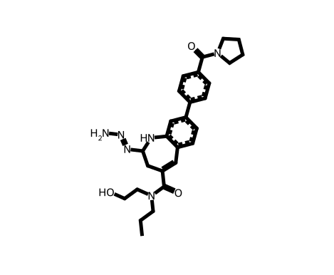 CCCN(CCO)C(=O)C1=Cc2ccc(-c3ccc(C(=O)N4CCCC4)cc3)cc2NC(N=NN)C1